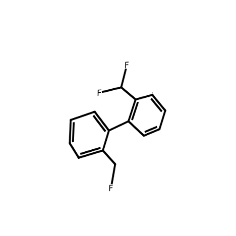 FCc1ccccc1-c1ccc[c]c1C(F)F